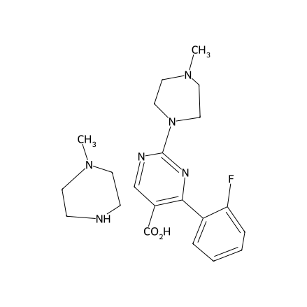 CN1CCN(c2ncc(C(=O)O)c(-c3ccccc3F)n2)CC1.CN1CCNCC1